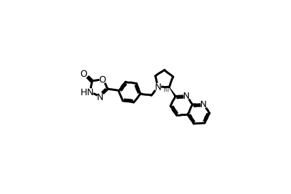 O=c1[nH]nc(-c2ccc(CN3CCC[C@H]3c3ccc4cccnc4n3)cc2)o1